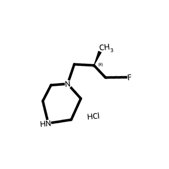 C[C@@H](CF)CN1CCNCC1.Cl